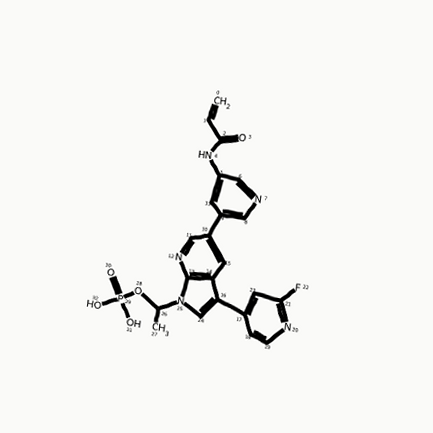 C=CC(=O)Nc1cncc(-c2cnc3c(c2)c(-c2ccnc(F)c2)cn3C(C)OP(=O)(O)O)c1